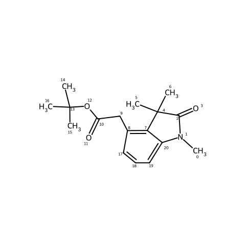 CN1C(=O)C(C)(C)c2c(CC(=O)OC(C)(C)C)cccc21